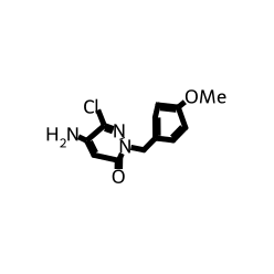 COc1ccc(Cn2nc(Cl)c(N)cc2=O)cc1